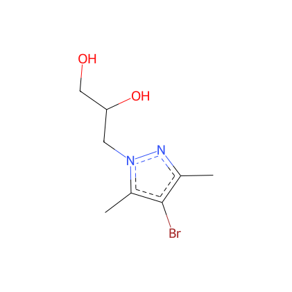 Cc1nn(CC(O)CO)c(C)c1Br